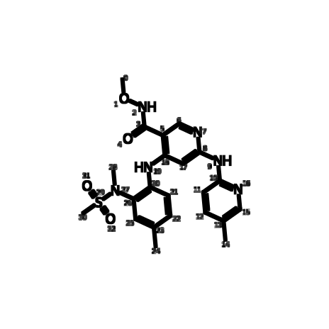 CONC(=O)c1cnc(Nc2ccc(C)cn2)cc1Nc1ccc(C)cc1N(C)S(C)(=O)=O